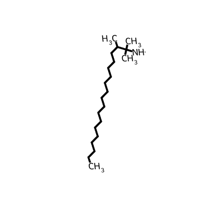 CCCCCCCCCCCCCCCCC(C)C(C)(C)[NH]